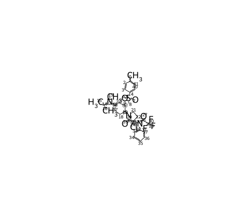 Cc1ccc(S(=O)(=O)C[C@H]2C[C@H](N(C)C(C)C)CC[C@@H]2N2CC[C@](Cl)(N(C(=O)C(F)(F)F)c3ccccc3)C2=O)cc1